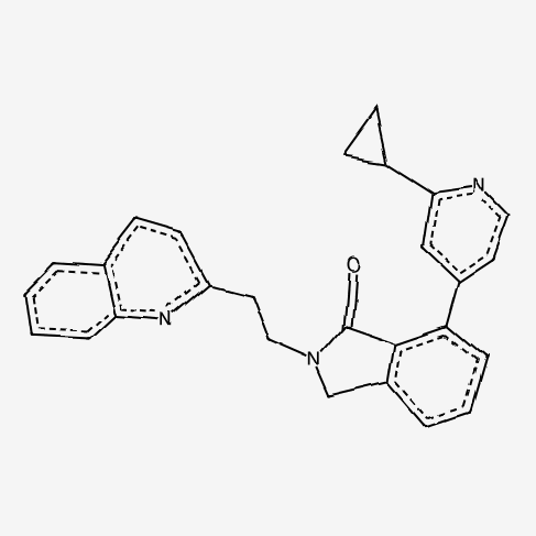 O=C1c2c(cccc2-c2ccnc(C3CC3)c2)CN1CCc1ccc2ccccc2n1